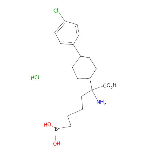 Cl.NC(CCCCB(O)O)(C(=O)O)C1CCC(c2ccc(Cl)cc2)CC1